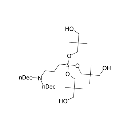 CCCCCCCCCCN(CCCCCCCCCC)CCC[Si](OCC(C)(C)CO)(OCC(C)(C)CO)OCC(C)(C)CO